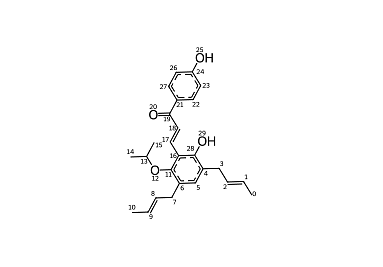 CC=CCc1cc(CC=CC)c(OC(C)C)c(C=CC(=O)c2ccc(O)cc2)c1O